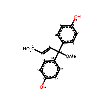 COC(C=CC(=O)O)(c1ccc(O)cc1)c1ccc(O)cc1